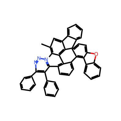 Cc1cc2c(c(-c3c(-c4nnnc(-c5ccccc5)c4-c4ccccc4)cccc3-c3cccc4oc5ccccc5c34)c1C)Cc1ccccc1-2